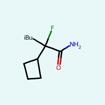 CCC(C)C(F)(C(N)=O)C1CCC1